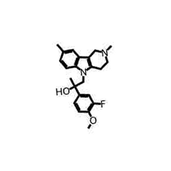 COc1ccc(C(C)(O)Cn2c3c(c4cc(C)ccc42)CN(C)CC3)cc1F